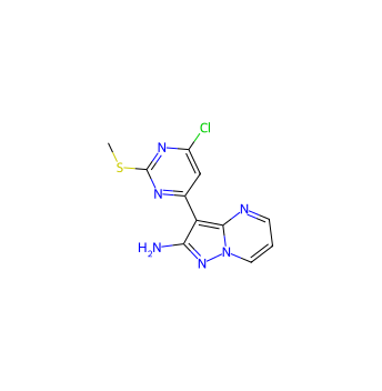 CSc1nc(Cl)cc(-c2c(N)nn3cccnc23)n1